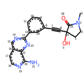 CN1CCC(O)(C#Cc2cccc(-c3ncc4ccnc(N)c4n3)c2)C1=O